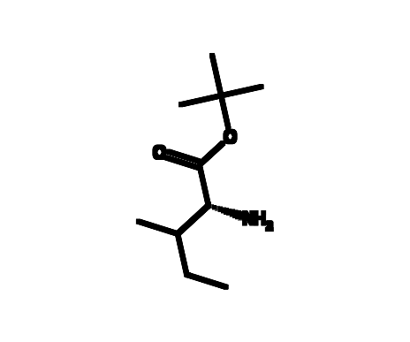 CCC(C)[C@@H](N)C(=O)OC(C)(C)C